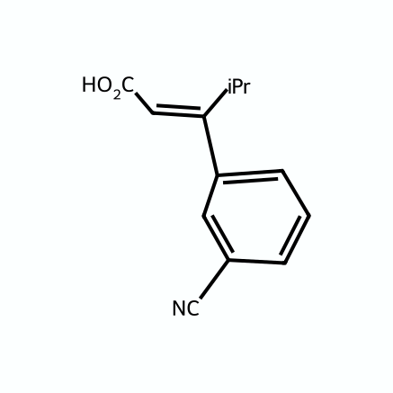 CC(C)C(=CC(=O)O)c1cccc(C#N)c1